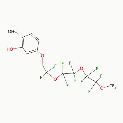 O=Cc1ccc(OCC(F)(F)OC(F)(F)C(F)(F)OC(F)(F)C(F)(F)OC(F)(F)F)cc1O